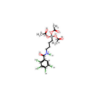 CC(=O)O[Si](CCCCN(F)C(=O)c1cc(F)c(F)c(F)c1F)(OC(C)=O)OC(C)=O